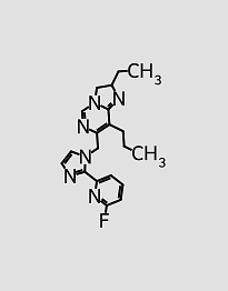 CCCC1=C(Cn2ccnc2-c2cccc(F)n2)N=CN2CC(CC)N=C12